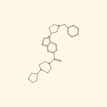 O=C(c1ccc2c(ccn2C2CCN(Cc3ccccc3)C2)c1)N1CCN(C2CCCC2)CC1